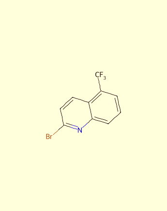 FC(F)(F)c1cccc2nc(Br)ccc12